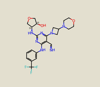 N=Cc1c(Nc2cccc(C(F)(F)F)c2)nc(N[C@H]2COC[C@H]2O)nc1N1CC(N2CCOCC2)C1